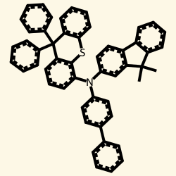 CC1(C)c2ccccc2-c2ccc(N(c3ccc(-c4ccccc4)cc3)c3cccc4c3Sc3ccccc3C4(c3ccccc3)c3ccccc3)cc21